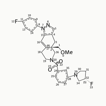 COC[C@]12Cc3cnn(-c4ccc(F)cc4)c3C=C1CCN(S(=O)(=O)c1cccc(N3CC[C@H](F)C3)c1)C2